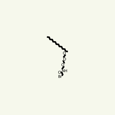 CCCCCCCCCCCCC(C)OCCOCCOCCNC(=O)CBr